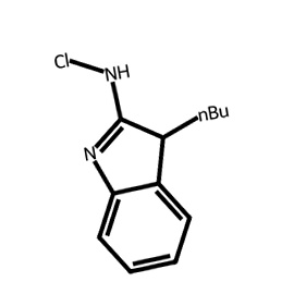 CCCCC1C(NCl)=Nc2ccccc21